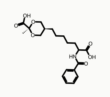 C[C@]1(C(=O)O)OC[C@@H](CCCCCC(NC(=O)c2ccccc2)C(=O)O)CO1